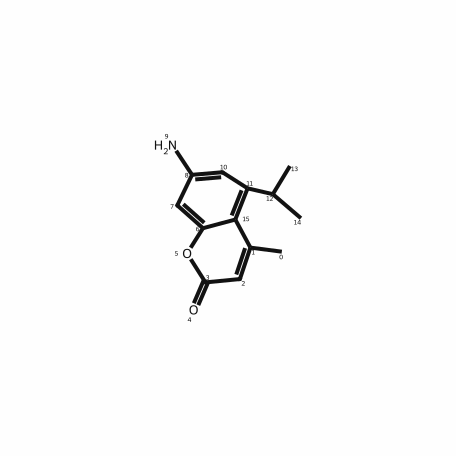 Cc1cc(=O)oc2cc(N)cc(C(C)C)c12